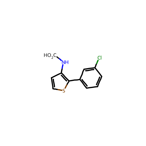 O=C(O)Nc1ccsc1-c1cccc(Cl)c1